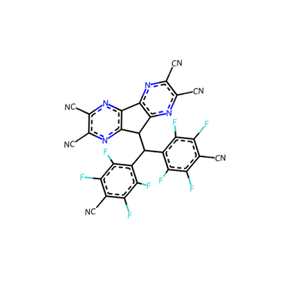 N#Cc1nc2c(nc1C#N)C(C(c1c(F)c(F)c(C#N)c(F)c1F)c1c(F)c(F)c(C#N)c(F)c1F)c1nc(C#N)c(C#N)nc1-2